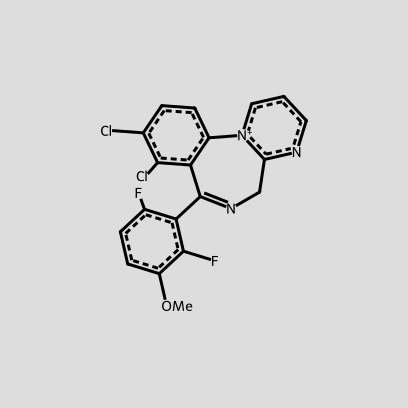 COc1ccc(F)c(C2=NCc3nccc[n+]3-c3ccc(Cl)c(Cl)c32)c1F